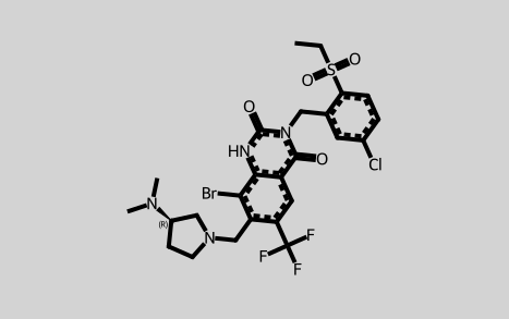 CCS(=O)(=O)c1ccc(Cl)cc1Cn1c(=O)[nH]c2c(Br)c(CN3CC[C@@H](N(C)C)C3)c(C(F)(F)F)cc2c1=O